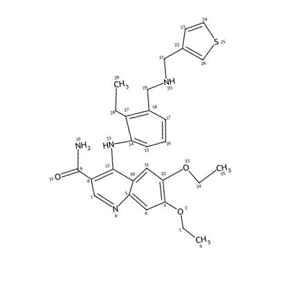 CCOc1cc2ncc(C(N)=O)c(Nc3cccc(CNCc4ccsc4)c3CC)c2cc1OCC